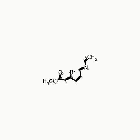 C=C/N=C/C=C\C(Br)=C\C(=O)OC